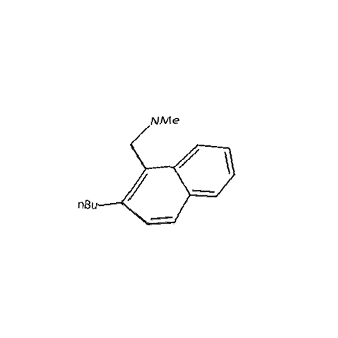 CCCCc1ccc2ccccc2c1CNC